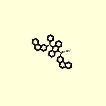 CCCCCCCN(c1ccc2ccc3ccccc3c2c1)c1c2ccccc2c(N(c2ccccc2)c2ccc3ccc4ccccc4c3c2)c2ccccc12